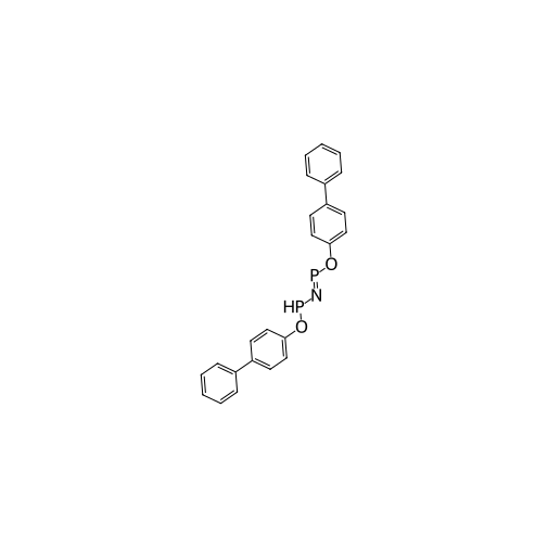 c1ccc(-c2ccc(OP=NPOc3ccc(-c4ccccc4)cc3)cc2)cc1